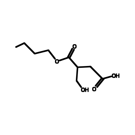 CCCCOC(=O)C(CO)CC(=O)O